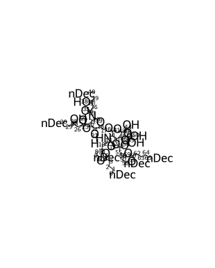 CCCCCCCCCCCCCC(=O)O[C@H](CCCCCCCCCCC)CC(=O)NC1C(OCC2OC3C(C(OC(=O)C[C@H](O)CCCCCCCCCCC)C2O)N3C(=O)C[C@H](O)CCCCCCCCCCC)OC(CO)C(OP(=O)(O)O)C1OC(=O)C[C@@H](CCCCCCCCCCC)OC(=O)CCCCCCCCCCCCC